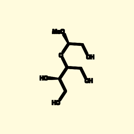 CO[C@@H](CO)OC(CO)[C@H](O)CO